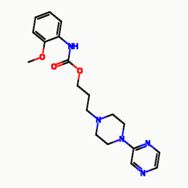 COc1ccccc1NC(=O)OCCCN1CCN(c2cnccn2)CC1